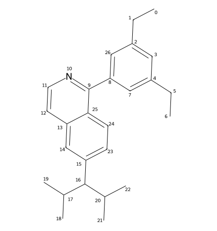 CCc1cc(CC)cc(-c2nccc3cc(C(C(C)C)C(C)C)ccc23)c1